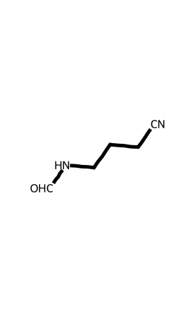 N#CCCCNC=O